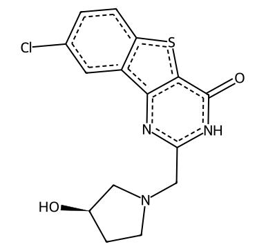 O=c1[nH]c(CN2CC[C@@H](O)C2)nc2c1sc1ccc(Cl)cc12